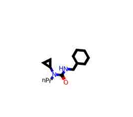 CCCN(C(=O)NCC1CCCCC1)C1CC1